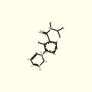 Cc1c(C(=O)N(C)C(C)C)cccc1N1C=CC=NC1